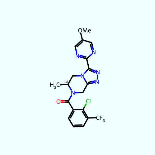 COc1cnc(-c2nnc3n2C[C@H](C)N(C(=O)c2cccc(C(F)(F)F)c2Cl)C3)nc1